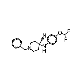 N#CC1(Nc2ccc(OC(F)F)cc2)CCN(Cc2ccccc2)CC1